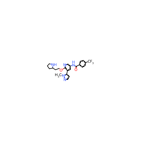 Cn1nccc1-c1cc(NC(=O)c2ccc(C(F)(F)F)cc2)cnc1OCCC1CCCN1